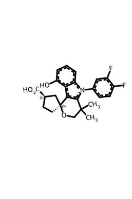 CC1(C)CO[C@]2(CC[C@@H](C(=O)O)C2)c2c1n(-c1ccc(F)c(F)c1)c1cccc(O)c21